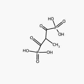 CC(C(=O)P(=O)(O)O)C(=O)P(=O)(O)O